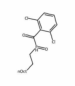 CCCCCCCCCC[PH](=O)C(=O)c1c(Cl)cccc1Cl